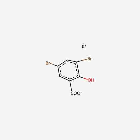 O=C([O-])c1cc(Br)cc(Br)c1O.[K+]